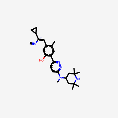 C=N/C(=C\c1cc(O)c(-c2ccc(N(C)C3CC(C)(C)NC(C)(C)C3)nn2)cc1C)C1CC1